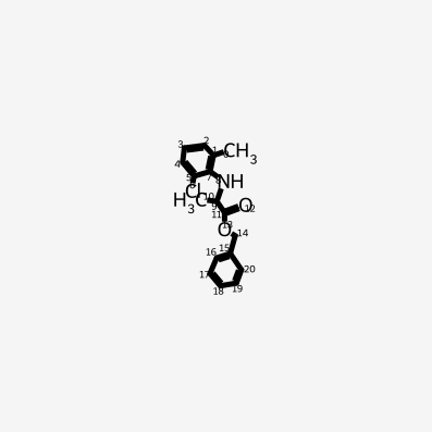 Cc1cccc(Cl)c1NC(C)C(=O)OCc1ccccc1